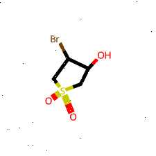 O=S1(=O)CC(O)C(Br)C1